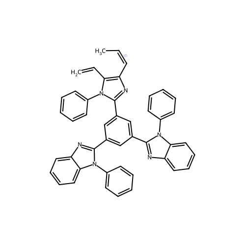 C=Cc1c(/C=C\C)nc(-c2cc(-c3nc4ccccc4n3-c3ccccc3)cc(-c3nc4ccccc4n3-c3ccccc3)c2)n1-c1ccccc1